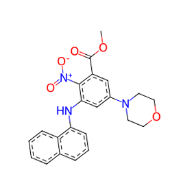 COC(=O)c1cc(N2CCOCC2)cc(Nc2cccc3ccccc23)c1[N+](=O)[O-]